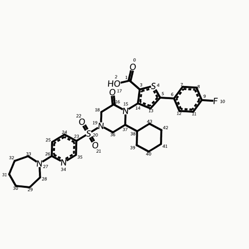 O=C(O)c1sc(-c2ccc(F)cc2)cc1N1C(=O)CN(S(=O)(=O)c2ccc(N3CCCCCC3)nc2)CC1C1CCCCC1